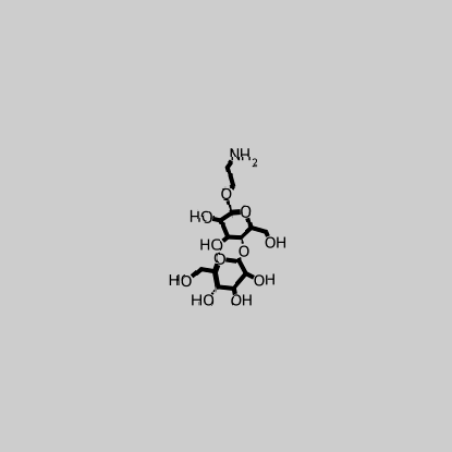 NCCO[C@H]1OC(CO)[C@H](O[C@H]2OC(CO)[C@@H](O)C(O)C2O)C(O)C1O